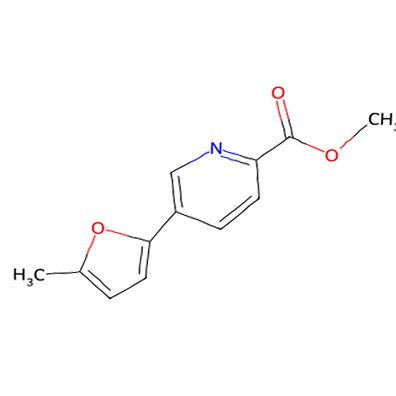 COC(=O)c1ccc(-c2ccc(C)o2)cn1